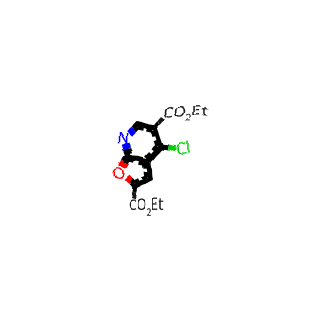 CCOC(=O)c1cc2c(Cl)c(C(=O)OCC)cnc2o1